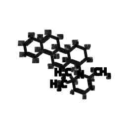 CC1=CC=CC(C)(C)N1C1=c2ccc3c(c2CCC1)CC=c1ccccc1=3